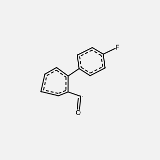 O=[C]c1ccccc1-c1ccc(F)cc1